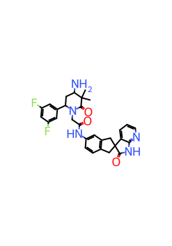 CC1(C)C(=O)N(CC(=O)Nc2ccc3c(c2)CC2(C3)C(=O)Nc3ncccc32)C(c2cc(F)cc(F)c2)CC1N